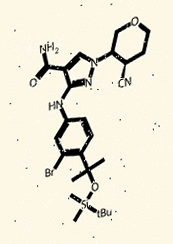 CC(C)(O[Si](C)(C)C(C)(C)C)c1ccc(Nc2nn(C3COCC[C@H]3C#N)cc2C(N)=O)cc1Br